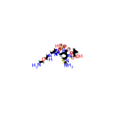 NCCOCCNCc1cnn(CC2C(/C(=N\OC3(C(=O)O)CC3)c3csc(N)n3)C(=O)N2S(=O)(=O)O)n1